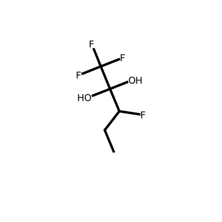 CCC(F)C(O)(O)C(F)(F)F